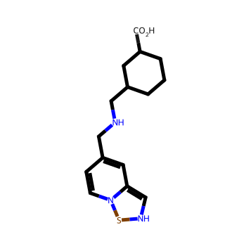 O=C(O)C1CCCC(CNCC2=CC3=CNSN3C=C2)C1